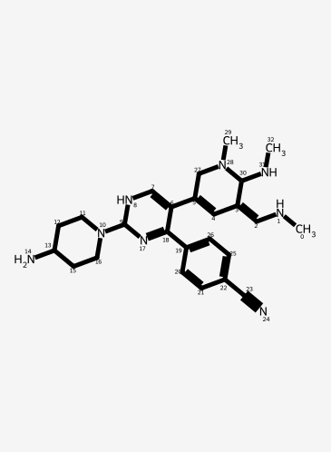 CN/C=C1/C=C(C2=CNC(N3CCC(N)CC3)N=C2c2ccc(C#N)cc2)CN(C)C1NC